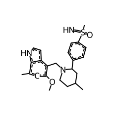 COc1cc(C)c2[nH]ccc2c1CN1CCC(C)CC1c1ccc(S(C)(=N)=O)cc1